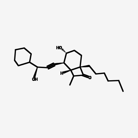 CCCCCC[C@]12CC[C@@H](O)[C@H](C#C[C@@H](O)C3CCCCC3)[C@H]1C(C)C2=O